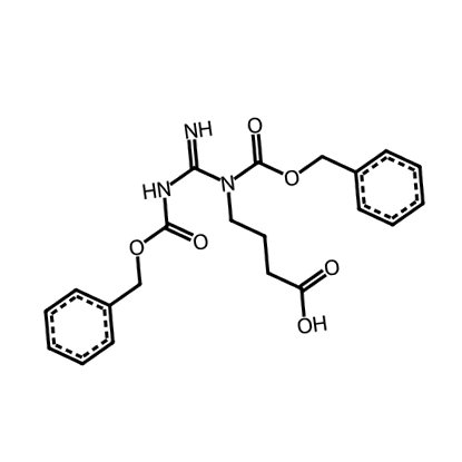 N=C(NC(=O)OCc1ccccc1)N(CCCC(=O)O)C(=O)OCc1ccccc1